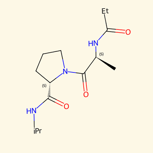 CCC(=O)N[C@@H](C)C(=O)N1CCC[C@H]1C(=O)NC(C)C